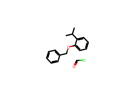 CC(C)c1ccccc1OCc1ccccc1.O=CCl